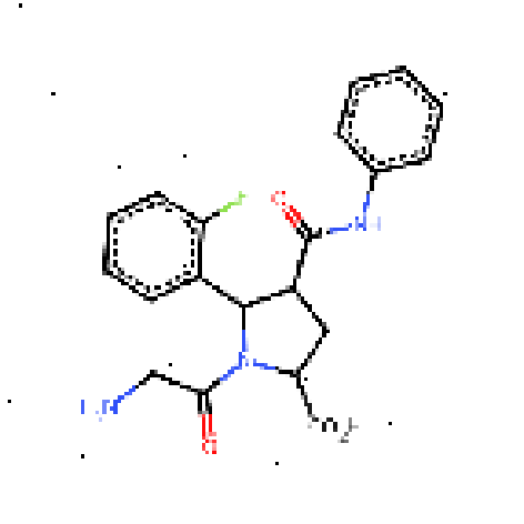 NCC(=O)N1C(C(=O)O)CC(C(=O)Nc2ccccc2)C1c1ccccc1F